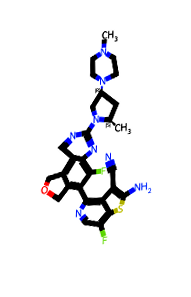 C[C@H]1C[C@@H](N2CCN(C)CC2)CN1c1ncc2c3c(c(-c4ncc(F)c5sc(N)c(C#N)c45)c(F)c2n1)COC3